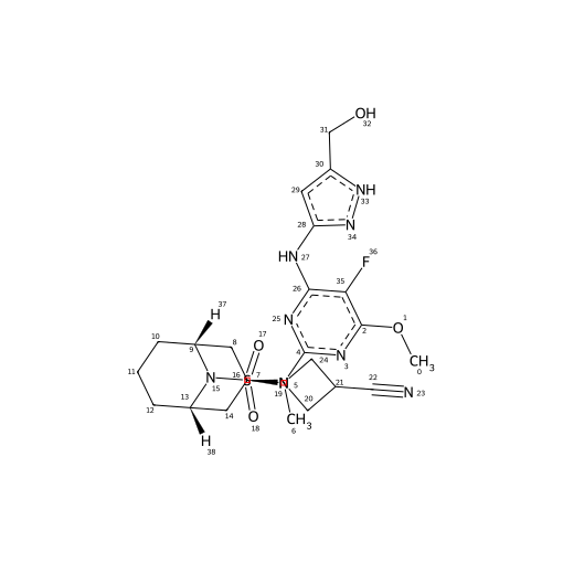 COc1nc(N(C)[C@@H]2C[C@H]3CCC[C@@H](C2)N3S(=O)(=O)N2CC(C#N)C2)nc(Nc2cc(CO)[nH]n2)c1F